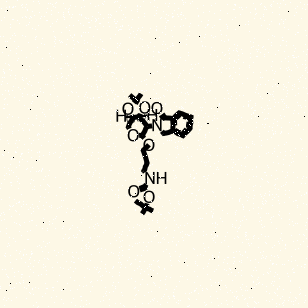 CC(C)(C)OC(=O)NCCCOC1OC[C@@H]2OC(C)(C)O[C@@H]2C1N1Cc2ccccc2C1=O